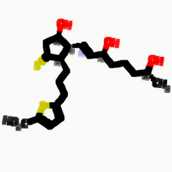 C[C@@H](O)CCC[C@H](O)/C=C/[C@H]1[C@H](O)CC(=S)[C@@H]1CCCc1ccc(C(=O)O)s1